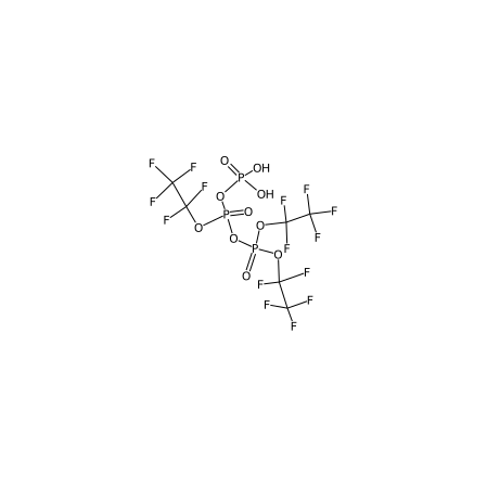 O=P(O)(O)OP(=O)(OC(F)(F)C(F)(F)F)OP(=O)(OC(F)(F)C(F)(F)F)OC(F)(F)C(F)(F)F